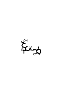 Cc1cccc(Cl)c1CNC(=O)Cc1c(C)nn(CC(C)(C)O)c1C